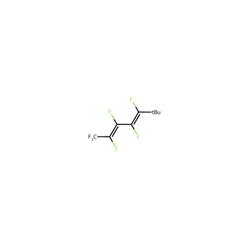 CC(C)(C)/C(F)=C(F)/C(F)=C(\F)C(F)(F)F